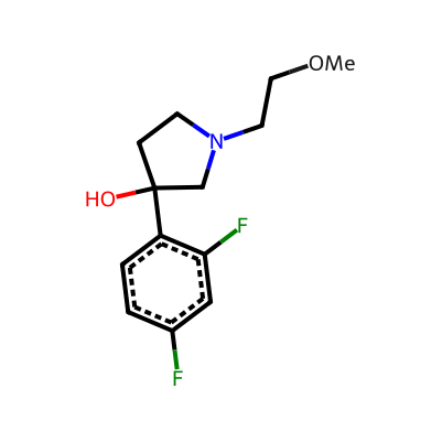 COCCN1CCC(O)(c2ccc(F)cc2F)C1